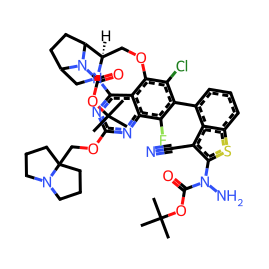 CC(C)(C)OC(=O)N(N)c1sc2cccc(-c3c(Cl)c4c5c(nc(OCC67CCCN6CCC7)nc5c3F)N3CC5CCC([C@H]3CO4)N5C(=O)OC(C)(C)C)c2c1C#N